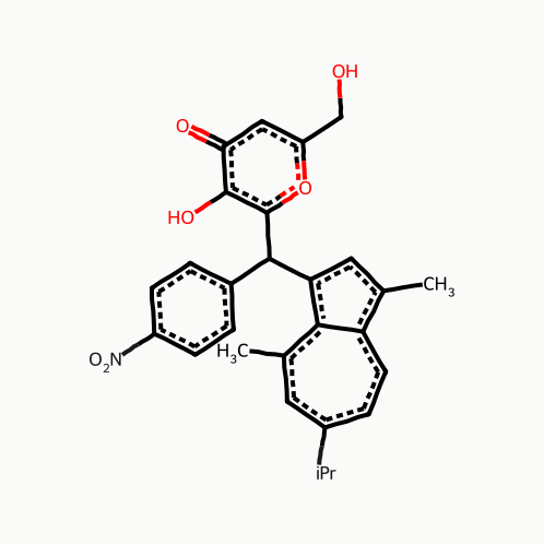 Cc1cc(C(c2ccc([N+](=O)[O-])cc2)c2oc(CO)cc(=O)c2O)c2c(C)cc(C(C)C)ccc1-2